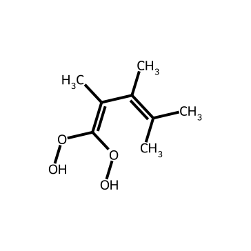 CC(C)=C(C)C(C)=C(OO)OO